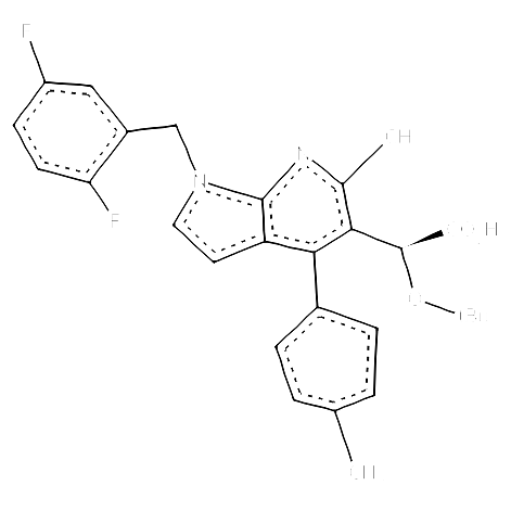 Cc1ccc(-c2c([C@H](OC(C)(C)C)C(=O)O)c(C)nc3c2ccn3Cc2cc(F)ccc2F)cc1